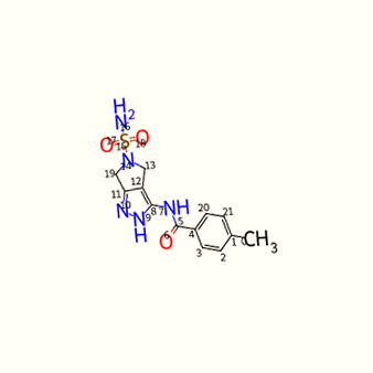 Cc1ccc(C(=O)Nc2[nH]nc3c2CN(S(N)(=O)=O)C3)cc1